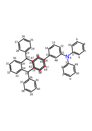 c1ccc(N(c2ccccc2)c2cccc(-c3ccc4c(c3)C3(c5ccccc5)c5ccccc5C4(c4ccccc4)c4ccccc43)c2)cc1